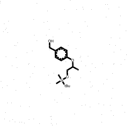 CC(CO[Si](C)(C)C(C)(C)C)Oc1ccc(CO)cc1